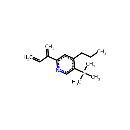 C=CC(=C)c1cc(CCC)c([Si](C)(C)C)cn1